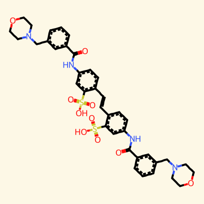 O=C(Nc1ccc(C=Cc2ccc(NC(=O)c3cccc(CN4CCOCC4)c3)cc2S(=O)(=O)O)c(S(=O)(=O)O)c1)c1cccc(CN2CCOCC2)c1